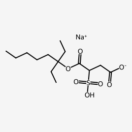 CCCCCC(CC)(CC)OC(=O)C(CC(=O)[O-])S(=O)(=O)O.[Na+]